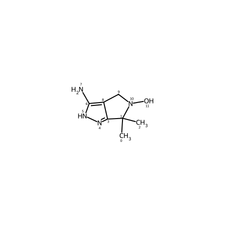 CC1(C)c2n[nH]c(N)c2CN1O